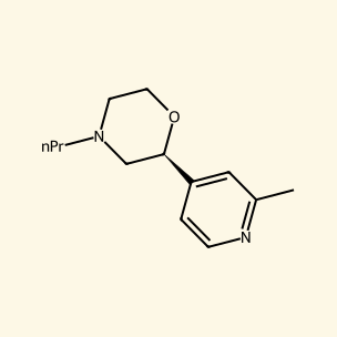 CCCN1CCO[C@@H](c2ccnc(C)c2)C1